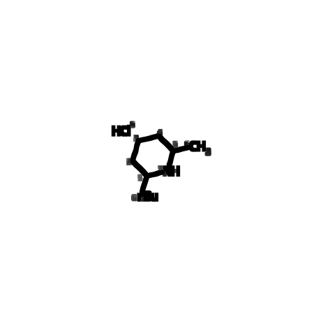 CCCCC1CCCC(C)N1.Cl